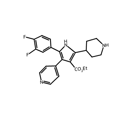 CCOC(=O)c1c(C2CCNCC2)[nH]c(-c2ccc(F)c(F)c2)c1-c1ccncc1